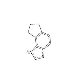 c1cc2ccc3c(c2[nH]1)CCC3